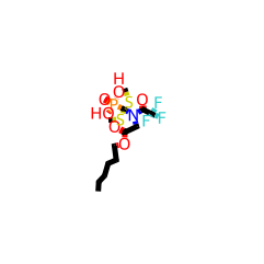 CCCCCCOC(=O)CN(C(=O)C(F)(F)F)C(SC)(SC)P(=O)(O)O